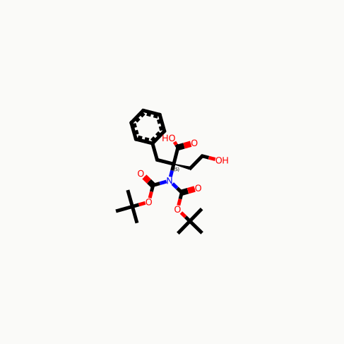 CC(C)(C)OC(=O)N(C(=O)OC(C)(C)C)[C@](CCO)(Cc1ccccc1)C(=O)O